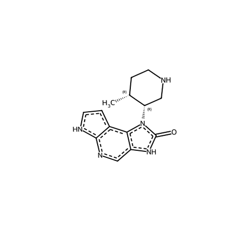 C[C@@H]1CCNC[C@@H]1n1c(=O)[nH]c2cnc3[nH]ccc3c21